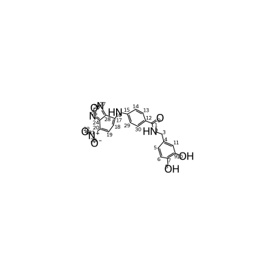 O=C(NCc1ccc(O)c(O)c1)c1ccc(Nc2ccc([N+](=O)[O-])c3nonc23)cc1